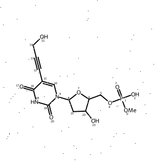 COP(=O)(O)OCC1OC(n2cc(C#CCO)c(=O)[nH]c2=O)CC1O